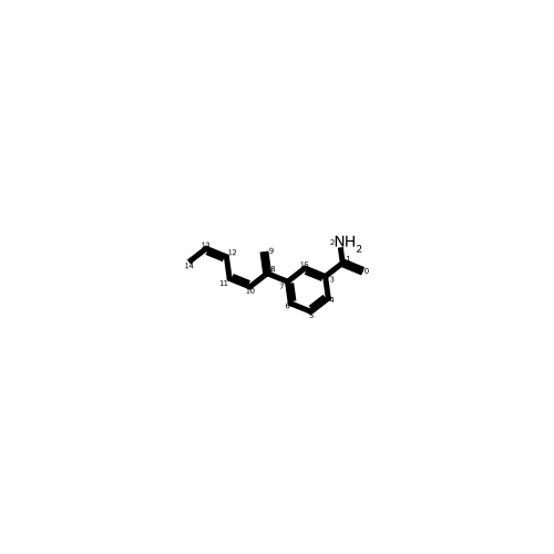 C=C(N)c1cccc(C(=C)/C=C\C=C/C)c1